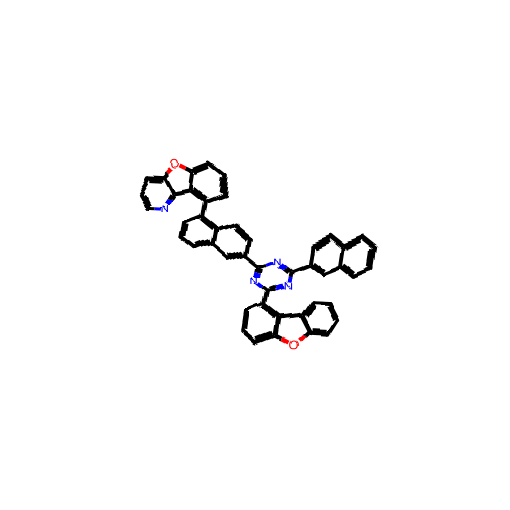 c1ccc2cc(-c3nc(-c4ccc5c(-c6cccc7oc8cccnc8c67)cccc5c4)nc(-c4cccc5oc6ccccc6c45)n3)ccc2c1